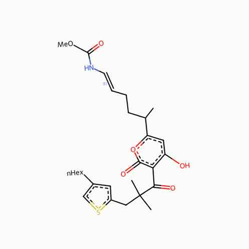 CCCCCCc1csc(CC(C)(C)C(=O)c2c(O)cc(C(C)CC/C=C/NC(=O)OC)oc2=O)c1